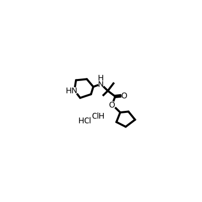 CC(C)(NC1CCNCC1)C(=O)OC1CCCC1.Cl.Cl